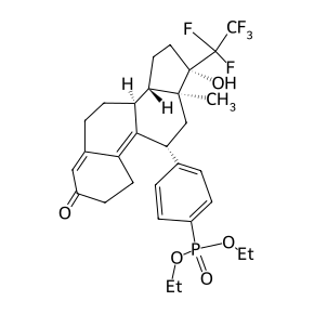 CCOP(=O)(OCC)c1ccc([C@H]2C[C@@]3(C)[C@@H](CC[C@@]3(O)C(F)(F)C(F)(F)F)[C@@H]3CCC4=CC(=O)CCC4=C32)cc1